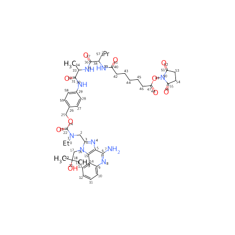 CCN(Cc1nc2c(N)nc3ccccc3c2n1CC(C)(C)O)C(=O)OCc1ccc(NC(=O)C(C)NC(=O)C(NC(=O)CCCCCC(=O)ON2C(=O)CCC2=O)C(C)C)cc1